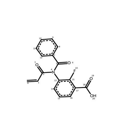 C=CC(=O)N(C(=O)c1ccccc1)c1cccc(C(=O)O)c1F